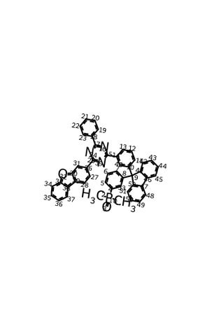 CP(C)(=O)c1cccc(C2(c3cccc(-c4nc(-c5ccccc5)nc(-c5ccc6c(c5)oc5ccccc56)n4)c3)c3ccccc3-c3ccccc32)c1